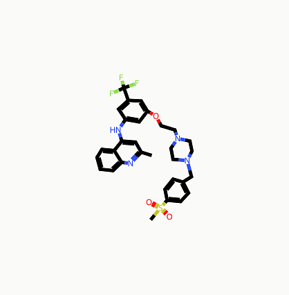 Cc1cc(Nc2cc(OCCN3CCN(Cc4ccc(S(C)(=O)=O)cc4)CC3)cc(C(F)(F)F)c2)c2ccccc2n1